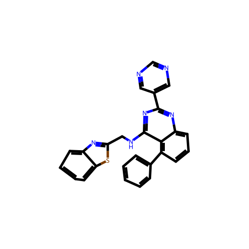 c1ccc(-c2cccc3nc(-c4cncnc4)nc(NCc4nc5ccccc5s4)c23)cc1